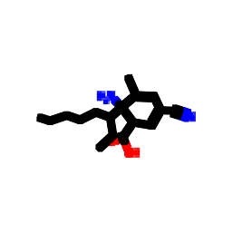 CCCCCC(CC)C1(N)C(C)=CC(C#N)=CC1C(=O)O